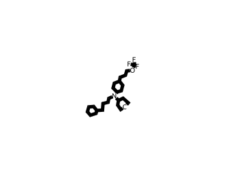 FC(F)(F)OCCCC1CCC(N(CCCCC2CCCCC2)C2CCCCC2)CC1